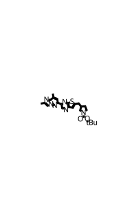 Cc1cn2nc(-c3cnc4cc(CC5CCN(C(=O)OC(C)(C)C)C5)sc4n3)cc(C)c2n1